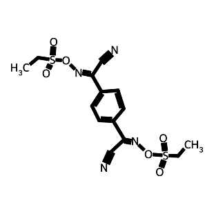 CCS(=O)(=O)ON=C(C#N)c1ccc(C(C#N)=NOS(=O)(=O)CC)cc1